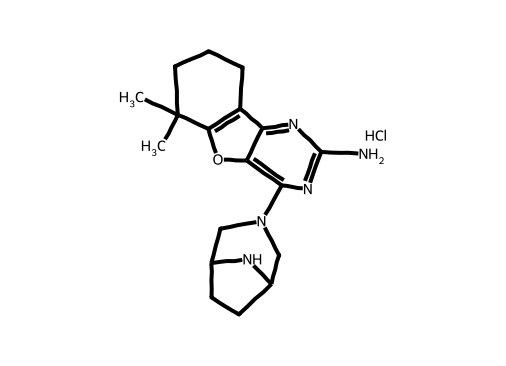 CC1(C)CCCc2c1oc1c(N3CC4CCC(C3)N4)nc(N)nc21.Cl